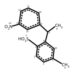 Cc1ccc(S(=O)(=O)O)c(C(C)c2cccc([N+](=O)[O-])c2)c1